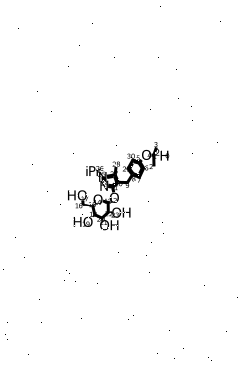 [2H]C(C)(C)Oc1ccc(Cc2c(O[C@@H]3O[C@H](CO)[C@@H](O)[C@H](O)[C@H]3O)nn(C(C)C)c2C)cc1